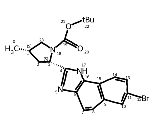 C[C@H]1C[C@@H](c2nc3ccc4cc(Br)ccc4c3[nH]2)N(C(=O)OC(C)(C)C)C1